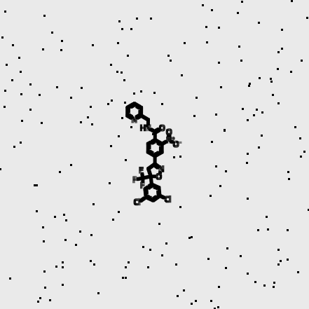 O=C(NCc1ccccn1)c1ccc(C2=NOC(c3cc(Cl)cc(Cl)c3)(C(F)(F)F)C2)cc1[N+](=O)[O-]